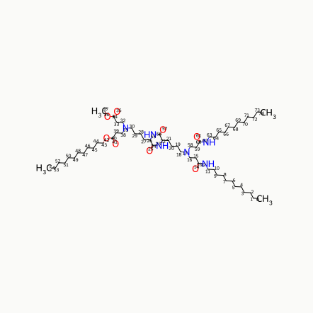 CCCCCCCCCCCCNC(=O)CCN(CCCCC1NC(=O)C(CCCCN(CCC(=O)OC)CCC(=O)OCCCCCCCCCCCC)NC1=O)CCC(=O)NCCCCCCCCCCCC